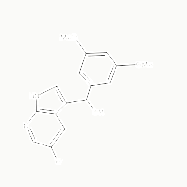 COc1cc(OC)cc(C(O)c2c[nH]c3ncc(Br)cc23)c1